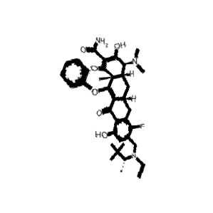 CCN(Cc1cc(O)c2c(c1F)C[C@H]1C[C@H]3[C@H](N(C)C)C(O)=C(C(N)=O)C(=O)[C@@]3(C)C(Oc3ccccc3)=C1C2=O)[C@H](C)C(C)(C)C